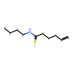 C=CCCCC(=S)NCCCC